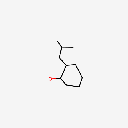 CC(C)CC1CCCCC1O